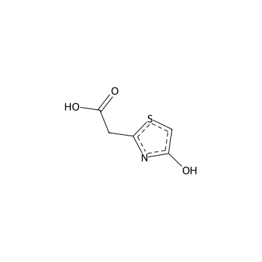 O=C(O)Cc1nc(O)cs1